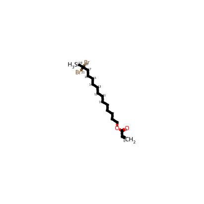 C=CC(=O)OCCCCCCCCCCCCCC([SiH3])(Br)Br